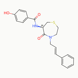 O=C(N[C@H]1CSCCN(CC=Cc2ccccc2)C1=O)c1ccc(O)cc1